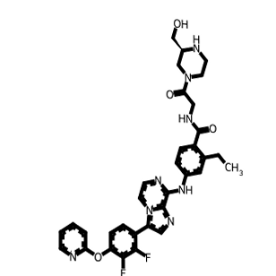 CCc1cc(Nc2nccn3c(-c4ccc(Oc5ccccn5)c(F)c4F)cnc23)ccc1C(=O)NCC(=O)N1CCN[C@H](CO)C1